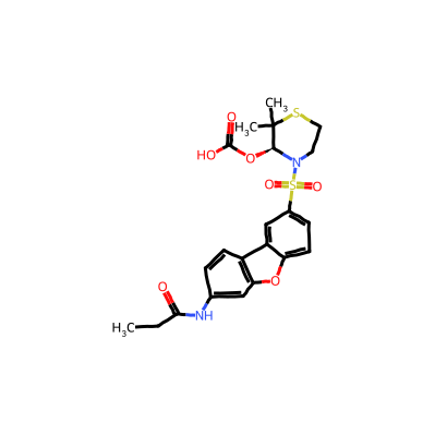 CCC(=O)Nc1ccc2c(c1)oc1ccc(S(=O)(=O)N3CCSC(C)(C)[C@@H]3OC(=O)O)cc12